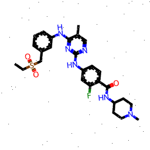 CCS(=O)(=O)Cc1cccc(Nc2nc(Nc3ccc(C(=O)NC4CCN(C)CC4)c(F)c3)ncc2C)c1